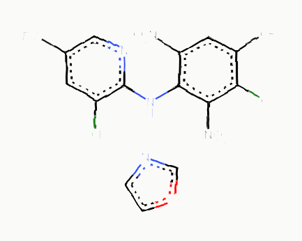 O=[N+]([O-])c1cc(C(F)(F)F)c(Cl)c([N+](=O)[O-])c1Nc1ncc(C(F)(F)F)cc1Cl.c1cocn1